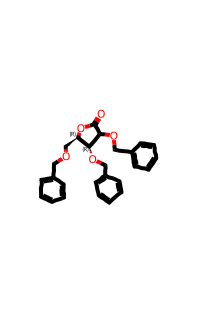 O=C1O[C@H](COCc2ccccc2)[C@@H](OCc2ccccc2)C1OCc1ccccc1